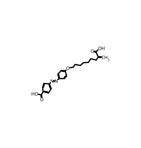 C=C(CCCCCCCOc1ccc(N=Nc2ccc(C(=O)O)cc2)cc1)C(=O)O